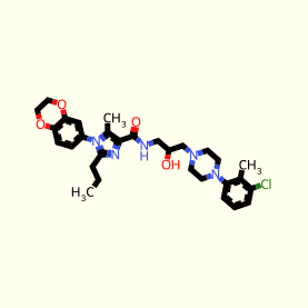 CCCc1nc(C(=O)NCC(O)CN2CCN(c3cccc(Cl)c3C)CC2)c(C)n1-c1ccc2c(c1)OCCO2